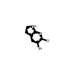 CC(C)c1cc2cc[nH]c2nc1Cl